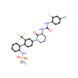 CS(=O)(=O)Nc1ccccc1-c1ccc(N2CCCC(NC(=O)Nc3ccc(Cl)cc3F)C2=O)cc1C(F)(F)F